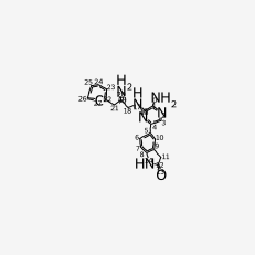 Nc1ncc(-c2ccc3c(c2)CC(=O)N3)nc1NC[C@H](N)Cc1ccccc1